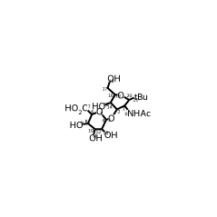 CC(=O)NC1C(OC2OC(C(=O)O)C(O)C(O)C2O)C(O)C(CO)OC1C(C)(C)C